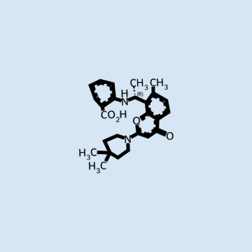 Cc1ccc2c(=O)cc(N3CCC(C)(C)CC3)oc2c1[C@@H](C)Nc1ccccc1C(=O)O